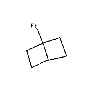 [CH2]CC12CCC1CC2